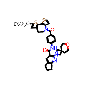 CCOC(=O)c1cc2c(s1)-c1sccc1N(C(=O)c1ccc(NC(=O)c3cc4c(nc3N3CC5(CCOCC5)C3)CCC4)cc1)CC2